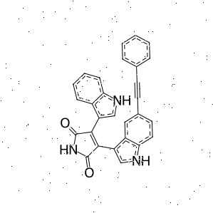 O=C1NC(=O)C(c2c[nH]c3ccc(C#Cc4ccccc4)cc23)=C1c1c[nH]c2ccccc12